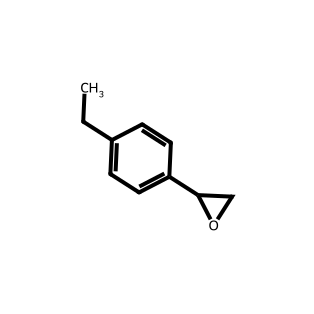 CCc1ccc(C2CO2)cc1